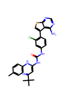 Cc1ccc(N/C(=C\C(=N)C(C)(C)C)NC(=O)Nc2ccc(-c3csc4ncnc(N)c34)c(Cl)c2)cc1